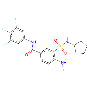 CNc1ccc(C(=O)Nc2cc(F)c(F)c(F)c2)cc1S(=O)(=O)NC1CCCC1